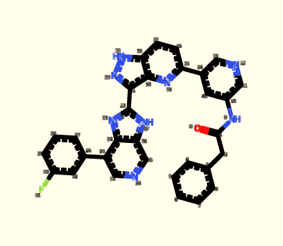 O=C(Cc1ccccc1)Nc1cncc(-c2ccc3[nH]nc(-c4nc5c(-c6cccc(F)c6)cncc5[nH]4)c3n2)c1